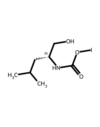 CC(C)C[C@H](CO)NC(=O)OI